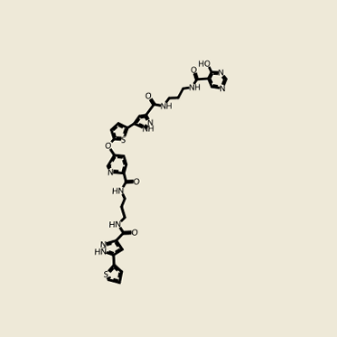 O=C(NCCCNC(=O)c1cc(-c2cccs2)[nH]n1)c1ccc(Oc2ccc(-c3cc(C(=O)NCCCNC(=O)c4cncnc4O)n[nH]3)s2)cn1